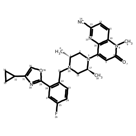 C[C@@H]1CN(c2cc(=O)n(C)c3ccc(C#N)nc23)[C@@H](C)CN1Cc1ccc(F)cc1-c1nc(C2CC2)co1